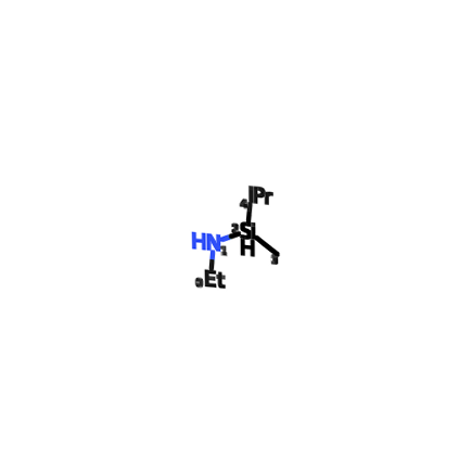 CCN[SiH](C)C(C)C